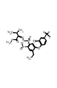 CCc1cc([N+](=O)[O-])c([PH](=O)ON=C(C(=O)OC)C(C)C)cc1Oc1ccc(C(F)(F)F)cc1Cl